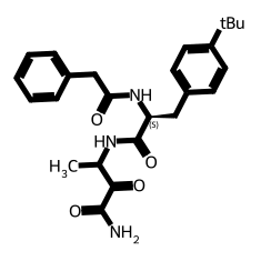 CC(NC(=O)[C@H](Cc1ccc(C(C)(C)C)cc1)NC(=O)Cc1ccccc1)C(=O)C(N)=O